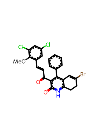 COc1c(Cl)cc(Cl)cc1C=CC(=O)c1c(-c2ccccc2)c2c([nH]c1=O)CCC(Br)=C2